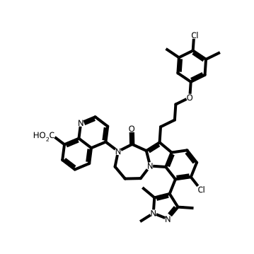 Cc1cc(OCCCc2c3n(c4c(-c5c(C)nn(C)c5C)c(Cl)ccc24)CCCN(c2ccnc4c(C(=O)O)cccc24)C3=O)cc(C)c1Cl